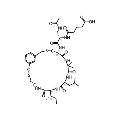 CC[C@H](C)[C@@H]1NC(=O)[C@H](CC(C)C)NC(=O)C(C)(C)NC(=O)[C@@H](NC(=O)[C@H](CNC(C)=O)NC(=O)CCCC(=O)O)CSCc2cccc(c2)CSCCNC1=O